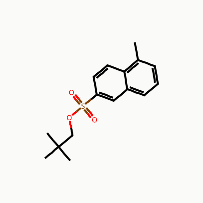 Cc1cccc2cc(S(=O)(=O)OCC(C)(C)C)ccc12